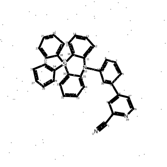 N#Cc1cc(-c2cccc(N3c4ccccc4[Si](c4ccccc4)(c4ccccc4)c4ccccc43)c2)ccn1